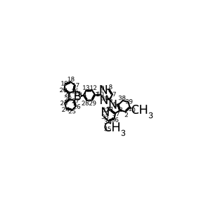 CC1=Cc2c(n(-c3ccnc(-c4ccc(B5c6ccccc6-c6ccccc65)cc4)n3)c3ncc(C)cc23)CC1